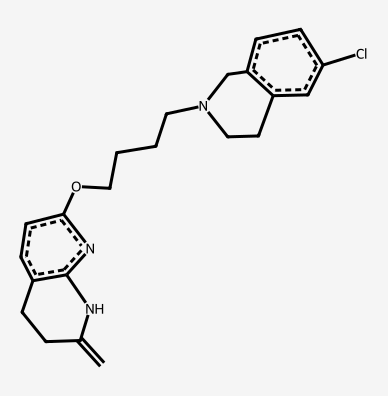 C=C1CCc2ccc(OCCCCN3CCc4cc(Cl)ccc4C3)nc2N1